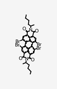 CCCCC(C)N1C(=O)c2cc(Br)c3c4c(Br)cc5c6c(cc(Br)c(c7c(Br)cc(c2c37)C1=O)c64)C(=O)N(C(C)CCCC)C5=O